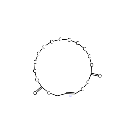 O=C1CC/C=C/CCC(=O)OCCCCCCCCCCO1